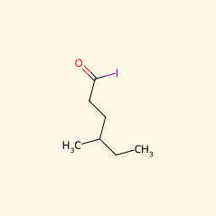 CCC(C)CCC(=O)I